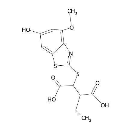 CCC(C(=O)O)C(Sc1nc2c(OC)cc(O)cc2s1)C(=O)O